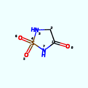 O=C1CNS(=O)(=O)N1